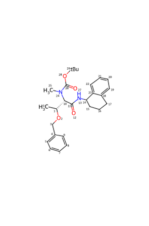 CC(OCc1ccccc1)[C@@H](C(=O)NC1CCCc2ccccc21)N(C)C(=O)OC(C)(C)C